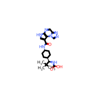 CC(C)(C)C(NC(=O)O)[C@H]1CC[C@H](NC(=O)c2c[nH]c3ncc4nncn4c23)CC1